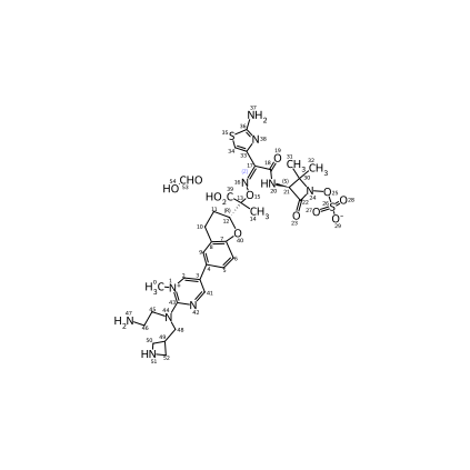 C[n+]1cc(-c2ccc3c(c2)CC[C@H](C(C)(O/N=C(\C(=O)N[C@@H]2C(=O)N(OS(=O)(=O)[O-])C2(C)C)c2csc(N)n2)C(=O)O)O3)cnc1N(CCN)CC1CNC1.O=CO